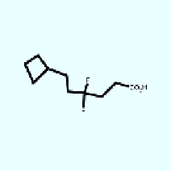 O=C(O)CCC(F)(F)CCC1CCC1